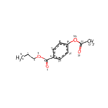 CCCOC(=O)c1ccc(OC(C)=O)cc1